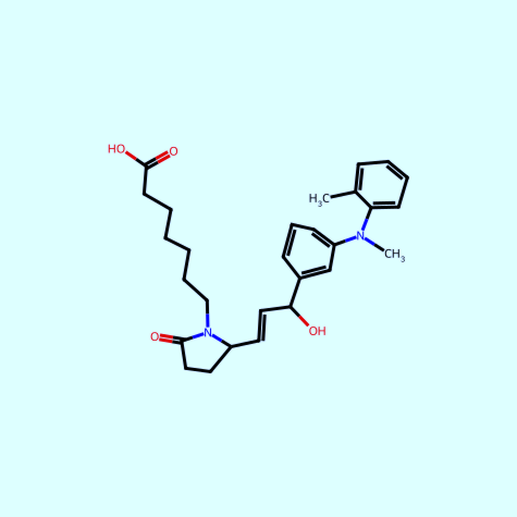 Cc1ccccc1N(C)c1cccc(C(O)C=CC2CCC(=O)N2CCCCCCC(=O)O)c1